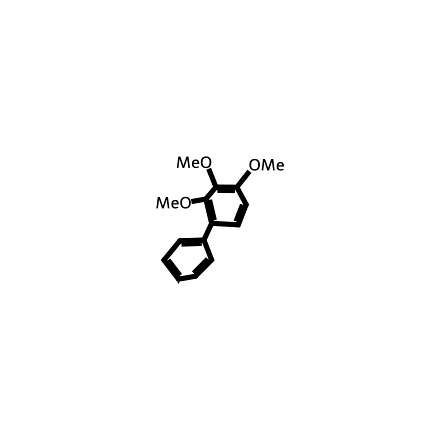 COc1ccc(-c2cc[c]cc2)c(OC)c1OC